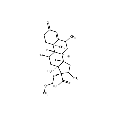 COCO[C@]1(C(C)=O)C(C)C[C@H]2[C@@H]3CC(C)C4=CC(=O)CC[C@]4(C)[C@H]3C(O)C[C@@]21C